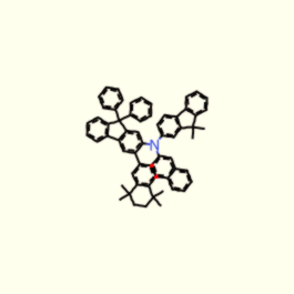 CC1(C)CCC(C)(C)c2cc(-c3cc4c(cc3N(c3ccc5c(c3)C(C)(C)c3ccccc3-5)c3ccc5ccccc5c3)C(c3ccccc3)(c3ccccc3)c3ccccc3-4)ccc21